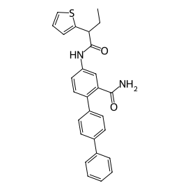 CCC(C(=O)Nc1ccc(-c2ccc(-c3ccccc3)cc2)c(C(N)=O)c1)c1cccs1